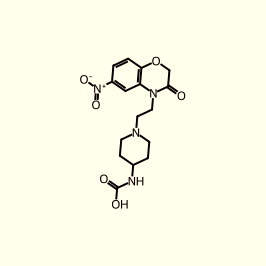 O=C(O)NC1CCN(CCN2C(=O)COc3ccc([N+](=O)[O-])cc32)CC1